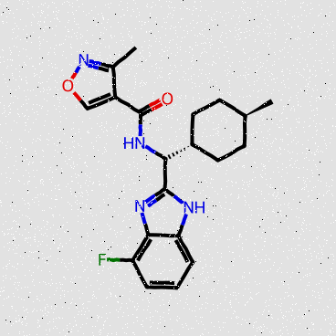 Cc1nocc1C(=O)NC(c1nc2c(F)cccc2[nH]1)[C@H]1CC[C@H](C)CC1